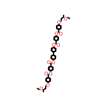 CCOC(C)CCOc1ccc(C(=O)Oc2ccc(C(=O)Oc3ccc(-c4ccc(OC(=O)c5ccc(OC(=O)c6ccc(OCCC(C)OCC)cc6)cc5)cc4)cc3)cc2)cc1